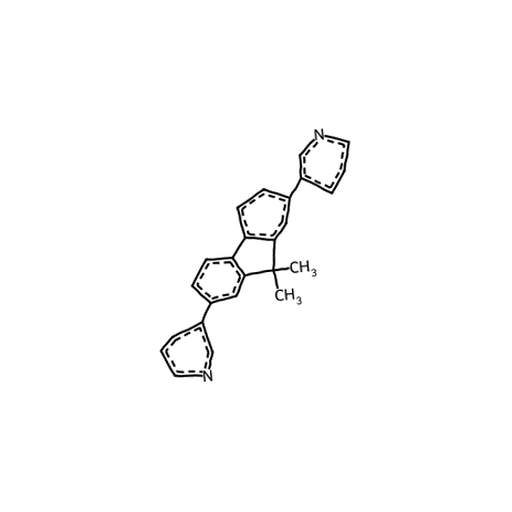 CC1(C)c2cc(-c3cccnc3)ccc2-c2ccc(-c3cccnc3)cc21